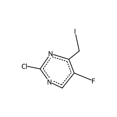 Fc1cnc(Cl)nc1CI